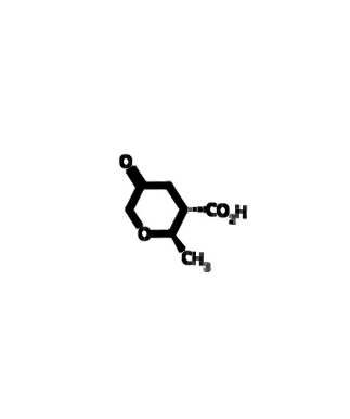 C[C@H]1OCC(=O)C[C@@H]1C(=O)O